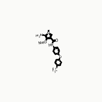 COc1c(C(=O)Nc2ccc(Oc3ccc(C(F)(F)F)cc3)cc2)cn(C)c1N